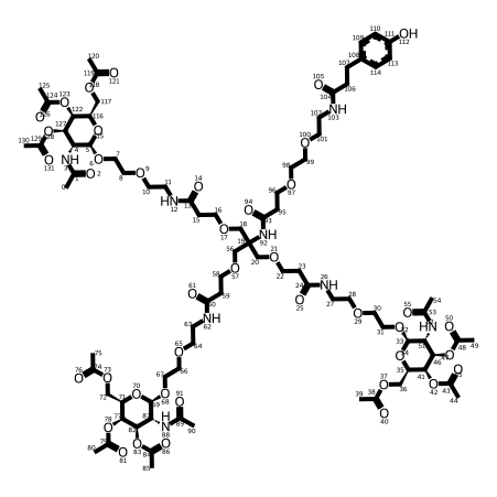 CC(=O)N[C@H]1[C@H](OCCOCCNC(=O)CCOCC(COCCC(=O)NCCOCCO[C@@H]2O[C@H](COC(C)=O)[C@H](OC(C)=O)[C@H](OC(C)=O)[C@H]2NC(C)=O)(COCCC(=O)NCCOCCO[C@@H]2O[C@H](COC(C)=O)[C@H](OC(C)=O)[C@H](OC(C)=O)[C@H]2NC(C)=O)NC(=O)CCOCCOCCNC(=O)CCc2ccc(O)cc2)O[C@H](COC(C)=O)[C@H](OC(C)=O)[C@@H]1OC(C)=O